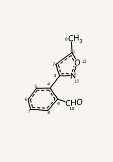 Cc1cc(-c2ccccc2C=O)no1